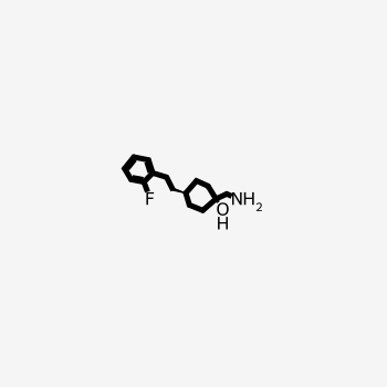 NC[C@]1(O)CC[C@@H](CCc2ccccc2F)CC1